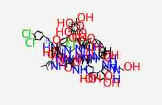 CN[C@H](CC(C)C)C(=O)N[C@H]1C(=O)N[C@@H](CC(N)=O)C(=O)NC2C(=O)N[C@H]3C(=O)N[C@H](C(=O)N[C@@H](C(=O)NNCCO)c4cc(O)cc(O)c4-c4cc3ccc4O)[C@H](O)c3ccc(c(Cl)c3)Oc3cc2cc(c3O[C@@H]2O[C@H](CO)[C@@H](O)[C@H](O)[C@H]2O[C@H]2C[C@](C)(NCCn3ccc(NC(=O)/C=C/c4ccc(Cl)c(Cl)c4)nc3=O)[C@H](O)[C@H](C)O2)Oc2ccc(cc2Cl)[C@H]1O